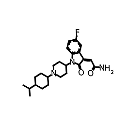 CC(C)C1CCC(N2CCC(N3C(=O)C(=CC(N)=O)c4cc(F)ccc43)CC2)CC1